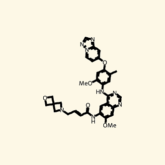 COc1cc2ncnc(Nc3cc(C)c(Oc4ccn5ncnc5c4)cc3OC)c2cc1NC(=O)/C=C/CN1CC2(COC2)C1